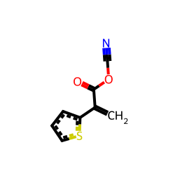 C=C(C(=O)OC#N)c1cccs1